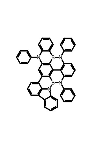 c1ccc(N2B3c4ccccc4N(c4ccccc4)c4cc5c6c(c43)-c3c2cccc3N(c2ccccc2)B6n2c3ccccc3c3cccc-5c32)cc1